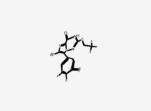 O=c1[nH]c(OCC(F)(F)F)nn2c(-c3cc(F)c(F)c(F)c3)c(Br)nc12